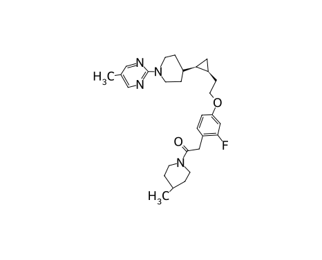 Cc1cnc(N2CCC([C@H]3C[C@H]3CCOc3ccc(CC(=O)N4CCC(C)CC4)c(F)c3)CC2)nc1